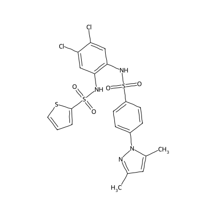 Cc1cc(C)n(-c2ccc(S(=O)(=O)Nc3cc(Cl)c(Cl)cc3NS(=O)(=O)c3cccs3)cc2)n1